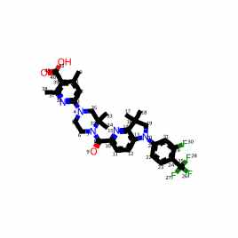 Cc1cc(N2CCN(C(=O)c3ccc4c(n3)C(C)(C)CN4c3ccc(C(F)(F)F)c(F)c3)C(C)(C)C2)nc(C)c1C(=O)O